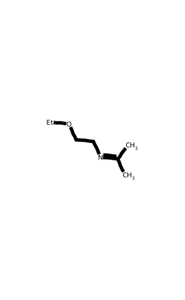 CCOCCN=C(C)C